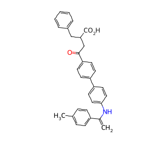 C=C(Nc1ccc(-c2ccc(C(=O)CC(Cc3ccccc3)C(=O)O)cc2)cc1)c1ccc(C)cc1